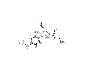 CCOC(=O)[C@@H]1C[C@](C)(C#N)C(c2ccc(OC)nc2)N1